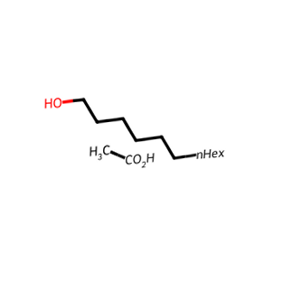 CC(=O)O.CCCCCCCCCCCCO